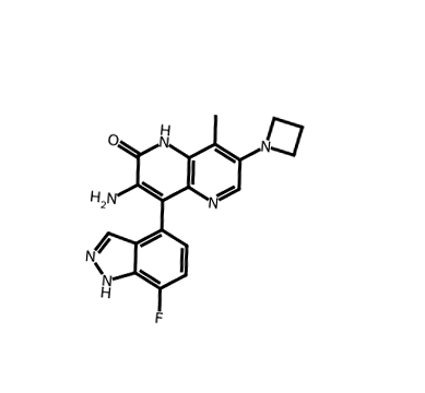 Cc1c(N2CCC2)cnc2c(-c3ccc(F)c4[nH]ncc34)c(N)c(=O)[nH]c12